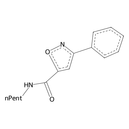 CCCCCNC(=O)c1cc(-c2ccccc2)no1